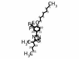 CCCCCCCCOc1ccc(-c2noc(C(C)CCCC)n2)cc1C(F)(F)F